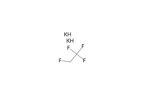 FCC(F)(F)F.[KH].[KH]